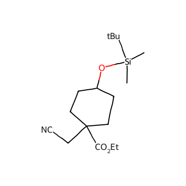 CCOC(=O)C1(CC#N)CCC(O[Si](C)(C)C(C)(C)C)CC1